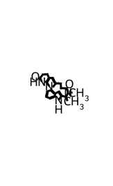 CC(c1cc2ccccc2[nH]1)N(C)C(=O)CCc1cnc2c(c1)CCC(=O)N2